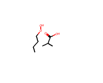 CC(C)C(=O)O.CCCCOO